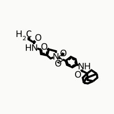 C=CC(=O)Nc1cc2c(o1)CN(S(=O)(=O)c1ccc(NC(=O)C34CC5CC(CC(C5)C3)C4)cc1)C2